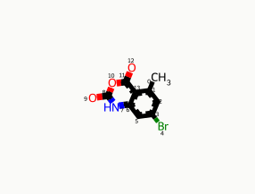 Cc1cc(Br)cc2[nH]c(=O)oc(=O)c12